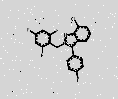 Fc1ccc(-c2c3cccc(Cl)c3nn2Cc2c(F)cc(F)cc2F)cc1